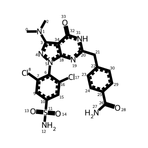 CN(C)c1nn(-c2c(Cl)cc(S(N)(=O)=O)cc2Cl)c2nc(Cc3ccc(C(N)=O)cc3)[nH]c(=O)c12